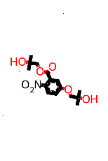 CC(C)(O)COC(=O)c1cc(OCC(C)(C)O)ccc1[N+](=O)[O-]